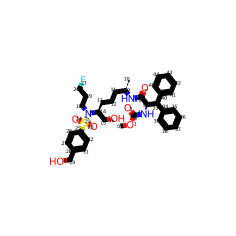 COC(=O)N[C@H](C(=O)N[C@@H](C)CCC[C@@H](CO)N(CCCF)S(=O)(=O)c1ccc(CO)cc1)C(c1ccccc1)c1ccccc1